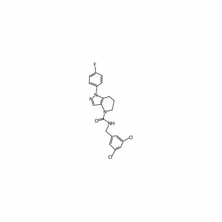 O=C(NCc1cc(Cl)cc(Cl)c1)N1CCCc2c1cnn2-c1ccc(F)cc1